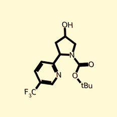 CC(C)(C)OC(=O)N1CC(O)CC1c1ccc(C(F)(F)F)cn1